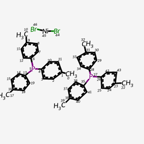 Cc1ccc(P(c2ccc(C)cc2)c2ccc(C)cc2)cc1.Cc1ccc(P(c2ccc(C)cc2)c2ccc(C)cc2)cc1.[Br][Ni][Br]